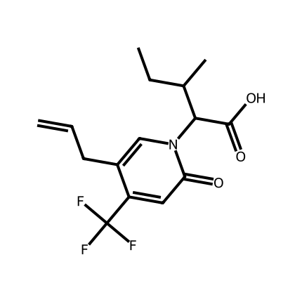 C=CCc1cn(C(C(=O)O)C(C)CC)c(=O)cc1C(F)(F)F